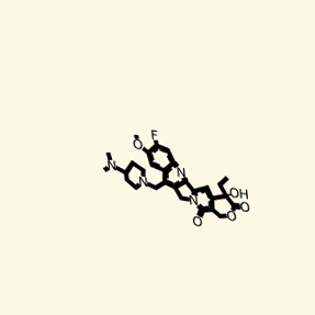 CC[C@@]1(O)C(=O)OCc2c1cc1n(c2=O)Cc2c-1nc1cc(F)c(OC)cc1c2CN1CCC(N(C)C)CC1